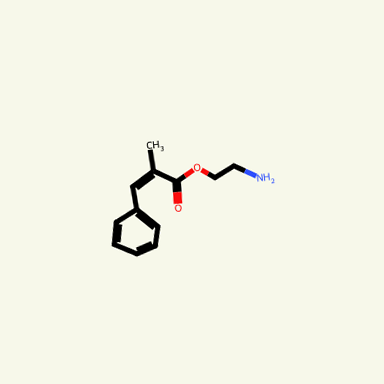 CC(=Cc1ccccc1)C(=O)OCCN